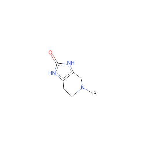 CC(C)N1CCc2[nH]c(=O)[nH]c2C1